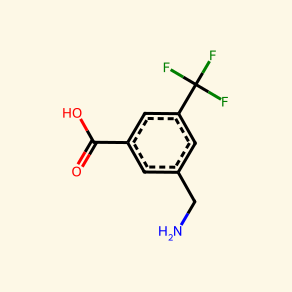 NCc1cc(C(=O)O)cc(C(F)(F)F)c1